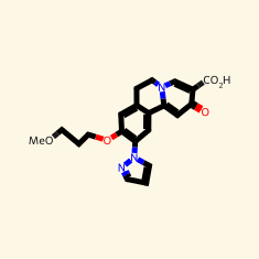 COCCCOc1cc2c(cc1-n1cccn1)-c1cc(=O)c(C(=O)O)cn1CC2